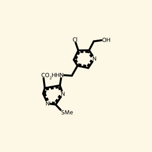 CSc1ncc(C(=O)O)c(NCc2cnc(CO)c(Cl)c2)n1